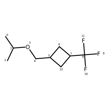 CC(C)OCC1CC(C(F)(F)F)C1